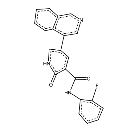 O=C(Nc1ccccc1F)c1cc(-c2cncc3ccccc23)c[nH]c1=O